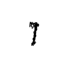 COC(=O)[C@@H](N)CCOCCOCCOCCOCCN=[N+]=[N-]